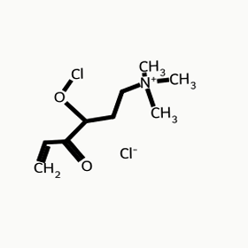 C=CC(=O)C(CC[N+](C)(C)C)OCl.[Cl-]